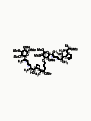 CC[C@H](OC)[C@@H](C)[C@H]1CC#C[C@@H]1[C@H](O)[C@@H](C)/C=C/C=C(\C)[C@H]1O[C@H](OC)[C@H](OC)[C@@H](OCCC[C@H](OC)[C@@H](C)[C@H]2CC[C@@H]2[C@H](O)[C@@H](C)/C=C/C=C(\C)[C@H]2O[C@@H](OC)[C@H](OC)[C@@H](OC)[C@@H]2OC)[C@@H]1OC